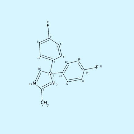 CC1=N[N+](c2ccc(F)cc2)(c2ccc(F)cc2)C=N1